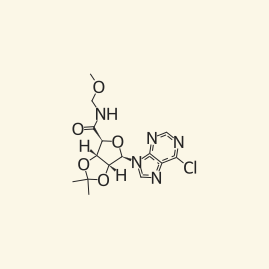 COCNC(=O)[C@H]1O[C@@H](n2cnc3c(Cl)ncnc32)[C@@H]2OC(C)(C)O[C@@H]21